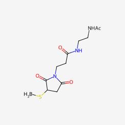 BSC1CC(=O)N(CCC(=O)NCCNC(C)=O)C1=O